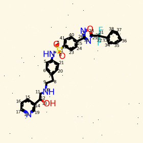 O=S(=O)(Nc1ccc(CCNCC(O)c2cccnc2)cc1)c1ccc(-c2noc(C(F)(F)c3ccccc3)n2)cc1